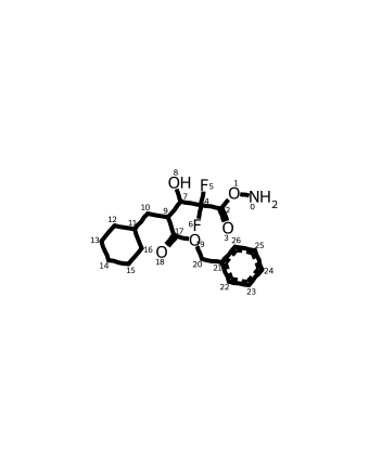 NOC(=O)C(F)(F)C(O)C(CC1CCCCC1)C(=O)OCc1ccccc1